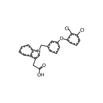 O=C(O)Cc1cn(Cc2cccc(Oc3cccc(Cl)c3Cl)c2)c2ccccc12